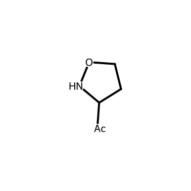 CC(=O)C1CCON1